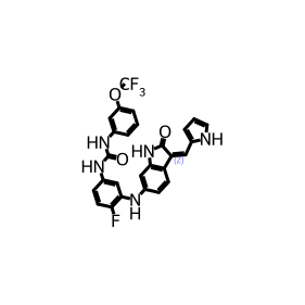 O=C(Nc1cccc(OC(F)(F)F)c1)Nc1ccc(F)c(Nc2ccc3c(c2)NC(=O)/C3=C\c2ccc[nH]2)c1